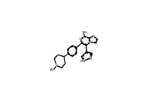 CC(C)N1CCC(c2ccc(-c3nc(N)c4nccn4c3-c3cn[nH]c3)cc2)CC1